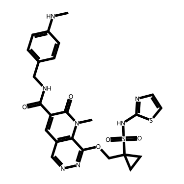 CNc1ccc(CNC(=O)c2cc3cnnc(OCC4(S(=O)(=O)Nc5nccs5)CC4)c3n(C)c2=O)cc1